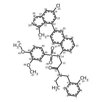 CCN(Cc1ncccc1C)C(=O)CN(c1cccc2nc(-c3cc(Cl)cc4snc(C)c34)ccc12)S(=O)(=O)c1ccc(OC)c(OC)c1